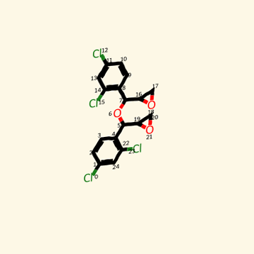 Clc1ccc(C(OC(c2ccc(Cl)cc2Cl)C2CO2)C2CO2)c(Cl)c1